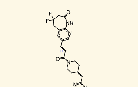 O=C1CC(F)(F)Cc2cc(/C=C/C(=O)N3CCC(=Cc4ncsn4)CC3)cnc2N1